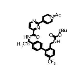 CC(=O)N1CC=C(c2nccc(C(=O)N[C@H](C)c3ccc(-c4cc(C(F)(F)F)ccc4CNC(=O)OC(C)(C)C)cc3)n2)CC1